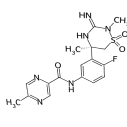 Cc1cnc(C(=O)Nc2ccc(F)c([C@]3(C)CS(=O)(=O)N(C)C(=N)N3)c2)cn1